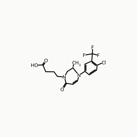 C[C@@H]1CN(CCCC(=O)O)C(=O)C=CN1c1ccc(Cl)c(C(F)(F)F)c1